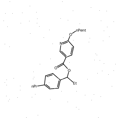 CCCCCOc1ccc(C(=O)OC(CC)c2ccc(CCC)cc2)cn1